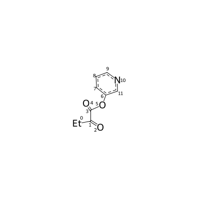 CCC(=O)C(=O)Oc1cccnc1